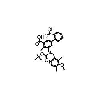 COc1c(C)cnc(CN(C(=O)OC(C)(C)C)c2cc(-c3ccccc3C(=O)O)cc(C(=O)O)c2C)c1C